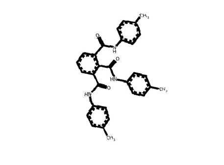 Cc1ccc(NC(=O)c2cccc(C(=O)Nc3ccc(C)cc3)c2C(=O)Nc2ccc(C)cc2)cc1